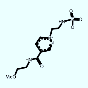 COCCNC(=O)c1cc[n+](CCNS(=O)(=O)[O-])nc1